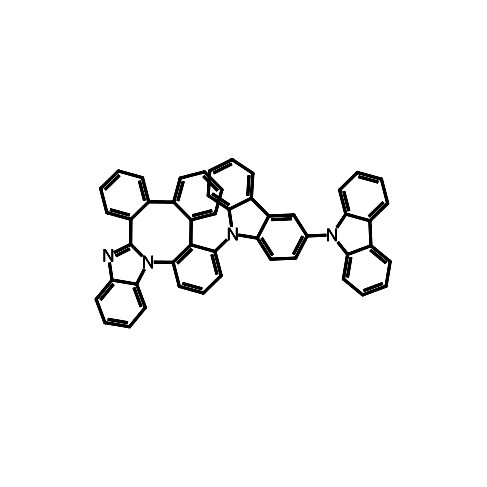 c1ccc2c(c1)-c1ccccc1-c1nc3ccccc3n1-c1cccc(-n3c4ccccc4c4cc(-n5c6ccccc6c6ccccc65)ccc43)c1-2